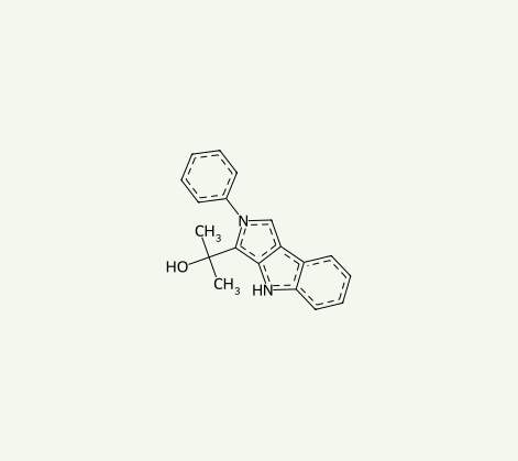 CC(C)(O)c1c2[nH]c3ccccc3c2cn1-c1ccccc1